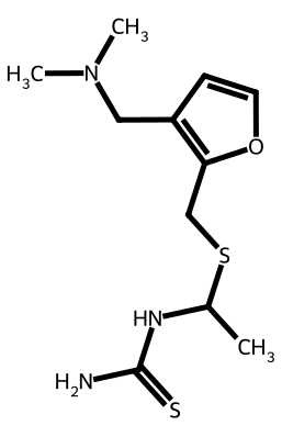 CC(NC(N)=S)SCc1occc1CN(C)C